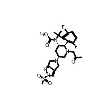 CC(=O)CN1C[C@H](N2Cc3cn(S(C)(=O)=O)nc3C2)C[C@H](N(C(=O)O)C(C)(C)C)[C@H]1c1cc(F)ccc1F